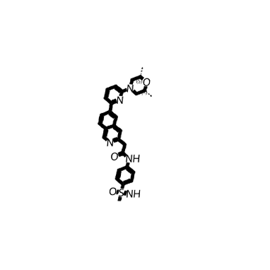 C[C@@H]1CN(c2cccc(-c3ccc4cnc(CC(=O)Nc5ccc(S(C)(=N)=O)cc5)cc4c3)n2)C[C@H](C)O1